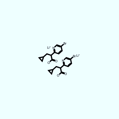 O=C([O-])C(CC1CC1)c1ccc(Br)cn1.O=C([O-])C(CC1CC1)c1ccc(Br)cn1.[Li+].[Li+]